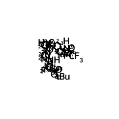 Cc1ccc2c(NS(=O)(=O)CC(F)(F)F)c(F)ccc2c1Oc1ncccc1-c1ccnc(N[C@H]2C[C@H](F)CN(C(=O)OC(C)(C)C)C2)n1